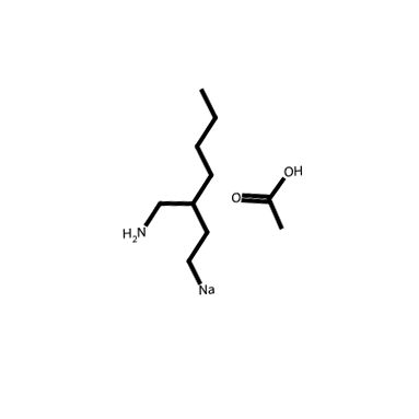 CC(=O)O.CCCCC(CN)C[CH2][Na]